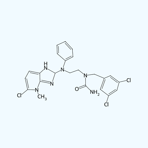 CN1C(Cl)=CC=C2NC(N(CCN(Cc3cc(Cl)cc(Cl)c3)C(N)=O)c3ccccc3)N=C21